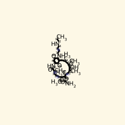 CCCNC/C=C/CNC1=C2CC(C)CC(OC)C(O)C(C)/C=C(\C)C(OC(N)=O)C(OC)/C=C\C=C(/C)C(=O)NC(=CC1=O)C2=O